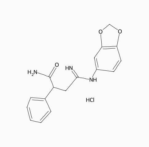 Cl.N=C(CC(C(N)=O)c1ccccc1)Nc1ccc2c(c1)OCO2